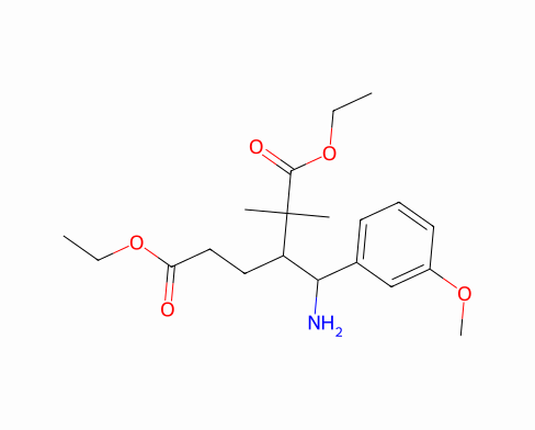 CCOC(=O)CCC(C(N)c1cccc(OC)c1)C(C)(C)C(=O)OCC